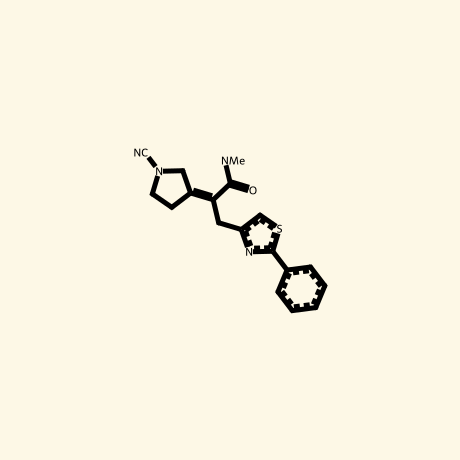 CNC(=O)/C(Cc1csc(-c2ccccc2)n1)=C1/CCN(C#N)C1